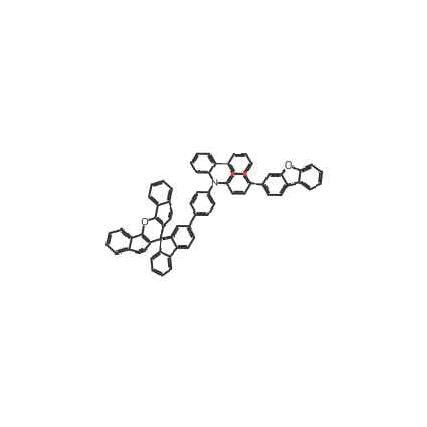 c1ccc(-c2ccccc2N(c2ccc(-c3ccc4c(c3)C3(c5ccccc5-4)c4ccc5ccccc5c4Oc4c3ccc3ccccc43)cc2)c2ccc(-c3ccc4c(c3)oc3ccccc34)cc2)cc1